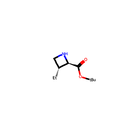 CC[C@@H]1CN[C@H]1C(=O)OC(C)(C)C